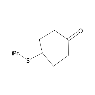 CC(C)SC1CCC(=O)CC1